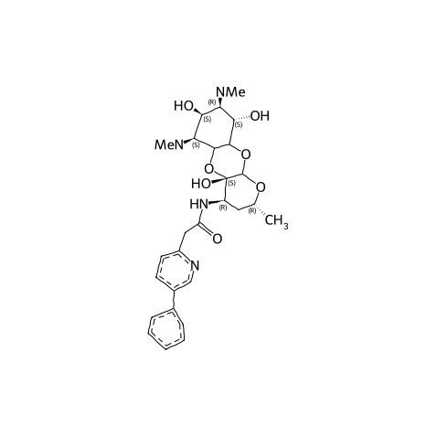 CN[C@@H]1[C@H](O)[C@H](NC)C2O[C@]3(O)C(OC2[C@H]1O)O[C@H](C)C[C@H]3NC(=O)Cc1ccc(-c2ccccc2)cn1